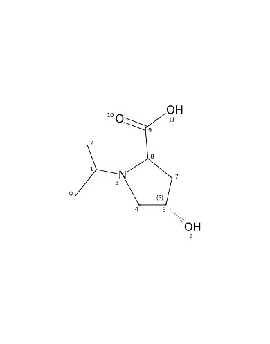 CC(C)N1C[C@@H](O)CC1C(=O)O